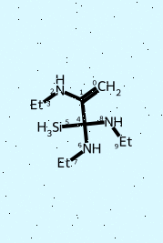 C=C(NCC)C([SiH3])(NCC)NCC